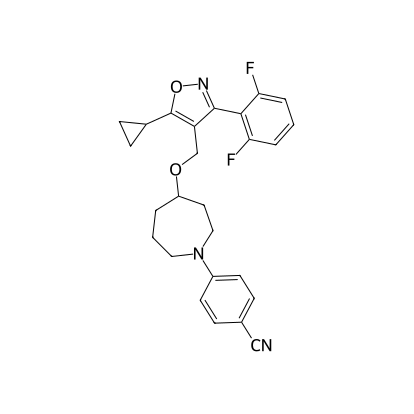 N#Cc1ccc(N2CCCC(OCc3c(-c4c(F)cccc4F)noc3C3CC3)CC2)cc1